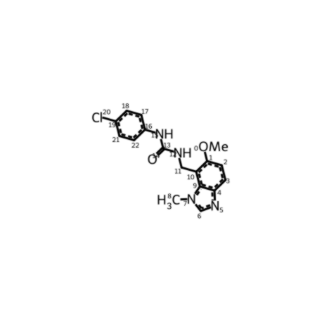 COc1ccc2ncn(C)c2c1CNC(=O)Nc1ccc(Cl)cc1